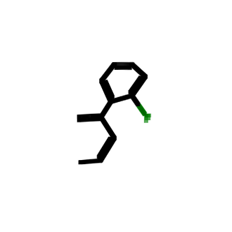 C=C(/C=C\C)c1ccccc1F